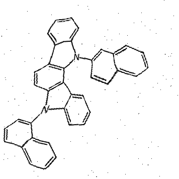 c1ccc2cc(-n3c4ccccc4c4ccc5c(c6ccccc6n5-c5cccc6ccccc56)c43)ccc2c1